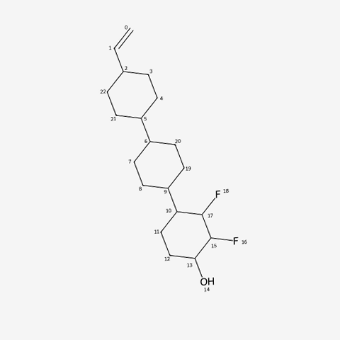 C=CC1CCC(C2CCC(C3CCC(O)C(F)C3F)CC2)CC1